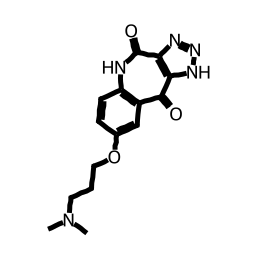 CN(C)CCCOc1ccc2[nH]c(=O)c3nn[nH]c3c(=O)c2c1